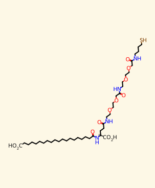 O=C(O)CCCCCCCCCCCCCCCCCCC(=O)N[C@@H](CCC(=O)NCCOCCOCC(=O)NCCOCCOCC(=O)NCCCCS)C(=O)O